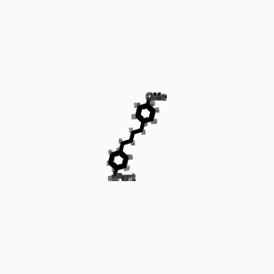 CCCCCc1ccc(CCCCc2ccc(OC)cc2)cc1